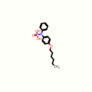 CCCCCCOc1ccc(N(c2ccccc2)P(=O)(O)O)cc1